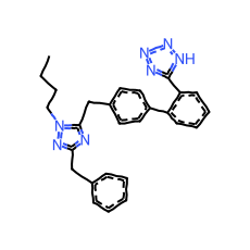 CCCCn1nc(Cc2ccccc2)nc1Cc1ccc(-c2ccccc2-c2nnn[nH]2)cc1